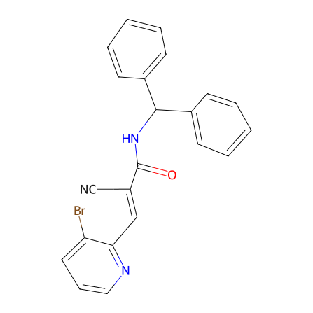 N#CC(=Cc1ncccc1Br)C(=O)NC(c1ccccc1)c1ccccc1